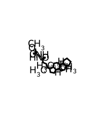 COCC(=O)NNC(=O)CC[C@@H](C)C1CCC2[C@@H]3CC[C@@H]4CCCC[C@]4(C)[C@H]3CC[C@]12C